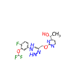 CC(O)c1ccnc(OC/C(=C/Nc2ccc(F)c(OC(F)F)c2)N=N)n1